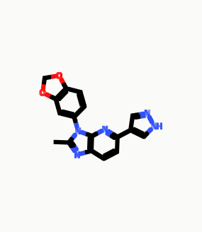 Cc1nc2ccc(-c3cn[nH]c3)nc2n1-c1ccc2c(c1)OCO2